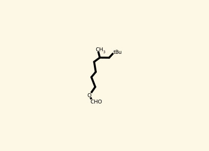 CC(CCCCOC=O)CC(C)(C)C